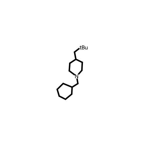 CC(C)(C)CC1CCN(CC2CCCCC2)CC1